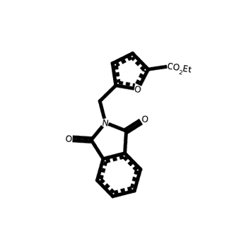 CCOC(=O)c1ccc(CN2C(=O)c3ccccc3C2=O)o1